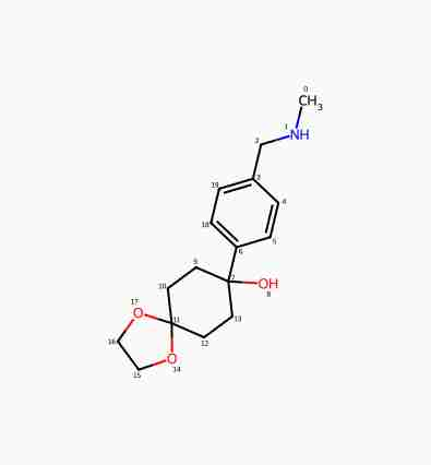 CNCc1ccc(C2(O)CCC3(CC2)OCCO3)cc1